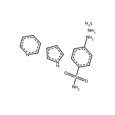 N.Nc1ccc(S(N)(=O)=O)cc1.S.c1cc[nH]c1.c1ccncc1